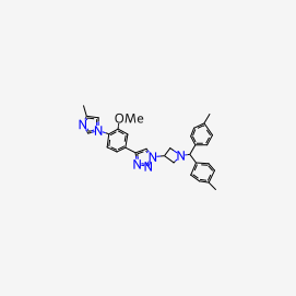 COc1cc(-c2cn(C3CN(C(c4ccc(C)cc4)c4ccc(C)cc4)C3)nn2)ccc1-n1cnc(C)c1